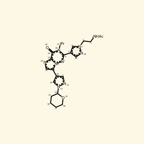 CC(=O)NCCn1cc(-c2nn3c(-c4cnn(C5CCCCO5)c4)cnc3c(=O)n2C(C)C)cn1